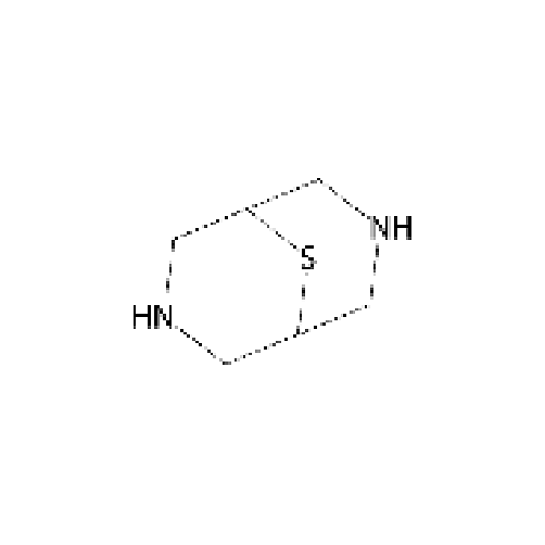 C1NCC2CNCC1S2